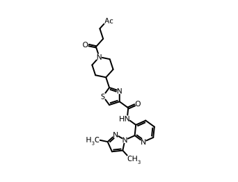 CC(=O)CCC(=O)N1CCC(c2nc(C(=O)Nc3cccnc3-n3nc(C)cc3C)cs2)CC1